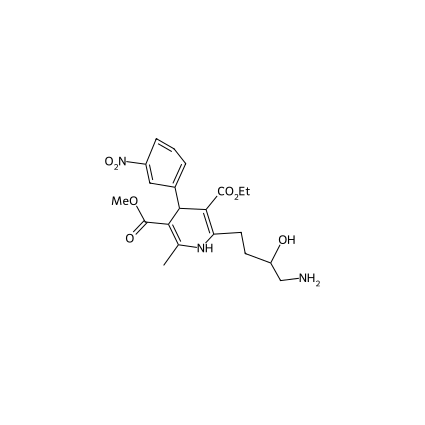 CCOC(=O)C1=C(CCC(O)CN)NC(C)=C(C(=O)OC)C1c1cccc([N+](=O)[O-])c1